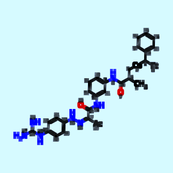 CC[CH]([Co][CH2]C(C)C(=O)Nc1cccc(NC(=O)/C(=N\Nc2ccc(NC(=N)N)cc2)C(C)=O)c1)c1ccccc1